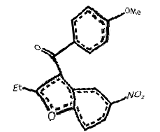 CCc1oc2ccc([N+](=O)[O-])cc2c1C(=O)c1ccc(OC)cc1